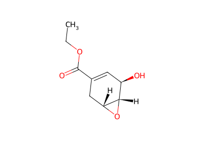 CCOC(=O)C1=C[C@@H](O)[C@@H]2O[C@@H]2C1